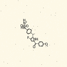 COc1ccc(C(=O)c2cc(F)c(C(C)c3ccc(NS(N)(=O)=O)cc3)[nH]2)cc1